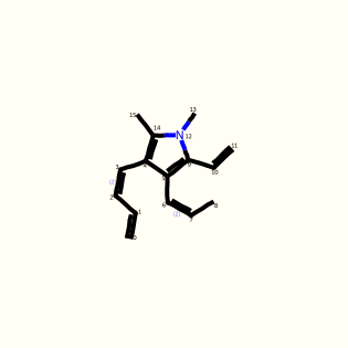 C=C/C=C\c1c(/C=C\C)c(C=C)n(C)c1C